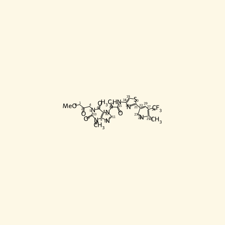 COCC(=O)Cn1c(=O)c2c(ncn2[C@@H](C)C(=O)Nc2csc(-c3cnc(C)c(C(F)(F)F)c3)n2)n(C)c1=O